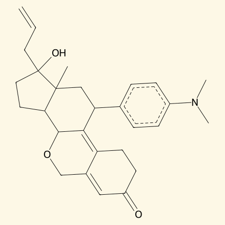 C=CCC1(O)CCC2C3OCC4=CC(=O)CCC4=C3C(c3ccc(N(C)C)cc3)CC21C